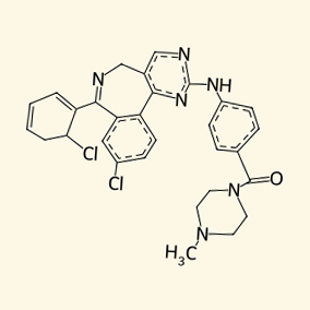 CN1CCN(C(=O)c2ccc(Nc3ncc4c(n3)-c3ccc(Cl)cc3C(C3=CC=CCC3Cl)=NC4)cc2)CC1